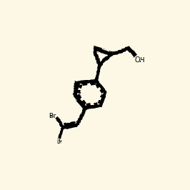 OCC1CC1c1ccc(C=C(Br)Br)cc1